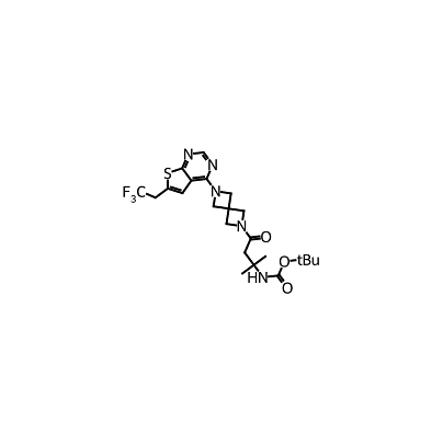 CC(C)(CC(=O)N1CC2(C1)CN(c1ncnc3sc(CC(F)(F)F)cc13)C2)NC(=O)OC(C)(C)C